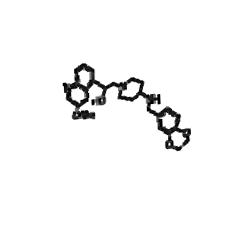 COc1cnc2cccc(C(O)CN3CCC(NCc4ccc5c(c4)OCCO5)CC3)c2c1